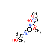 COc1cc2nn(C3CC(C(C)(C)O)C3)cc2cc1NC(=O)c1cccc(OC)[n+]1O